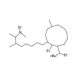 CCCCC(CC)C1CCCCCC(C)CCC(CCCCCC(C)C(C)N(C)CC)C1CC